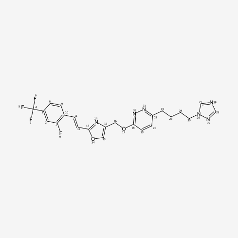 Fc1cc(C(F)(F)F)ccc1C=Cc1nc(COc2ccc(CCCCn3cncn3)nn2)co1